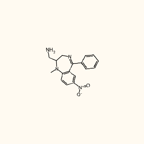 CN1c2ccc([N+](=O)[O-])cc2C(c2ccccc2)=NCC1CN